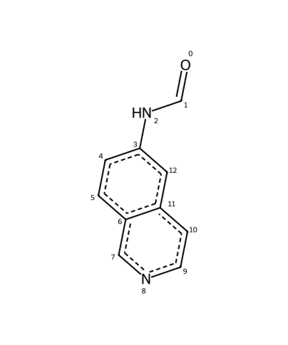 O=CNc1ccc2cnccc2c1